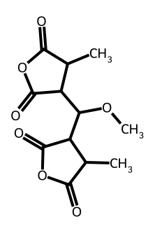 COC(C1C(=O)OC(=O)C1C)C1C(=O)OC(=O)C1C